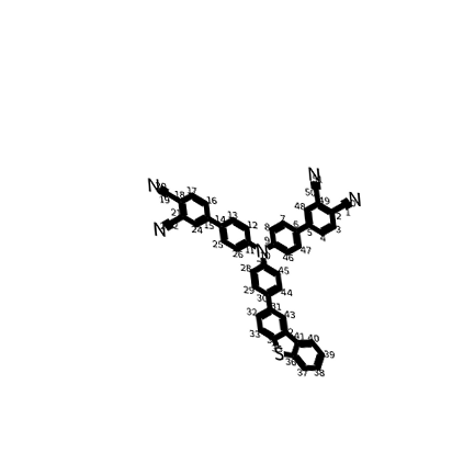 N#Cc1ccc(-c2ccc(N(c3ccc(-c4ccc(C#N)c(C#N)c4)cc3)c3ccc(-c4ccc5sc6ccccc6c5c4)cc3)cc2)cc1C#N